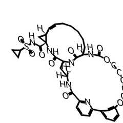 O=C1N[C@H]2CCCCC/C=C\[C@@H]3C[C@@]3(C(=O)NS(=O)(=O)C3CC3)NC(=O)[C@@H]3C[C@H](CN3C2=O)NC(=O)c2cccc(n2)-c2cccc(c2)OCCCCCO1